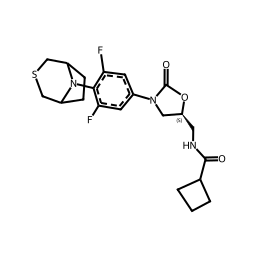 O=C(NC[C@H]1CN(c2cc(F)c(N3C4CCC3CSC4)c(F)c2)C(=O)O1)C1CCC1